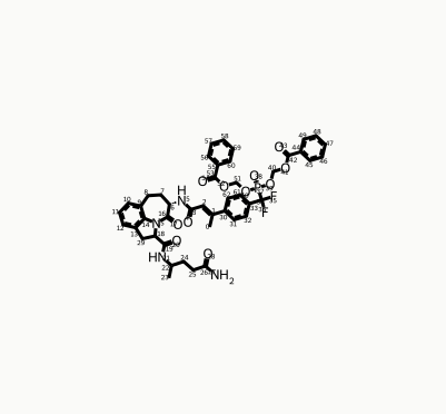 C/C(=C\C(=O)N[C@H]1CCc2cccc3c2N(C1=O)C(C(=O)NC(C)CCC(N)=O)C3)c1ccc(C(F)(F)P(=O)(OCOC(=O)c2ccccc2)OCOC(=O)c2ccccc2)cc1